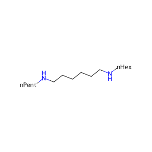 [CH2]CCCCNCCCCCCNCCCCCC